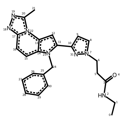 CCNC(=O)CCn1ccc(-c2cc3c(ccc4nnc(C)n43)n2Cc2ccccc2)n1